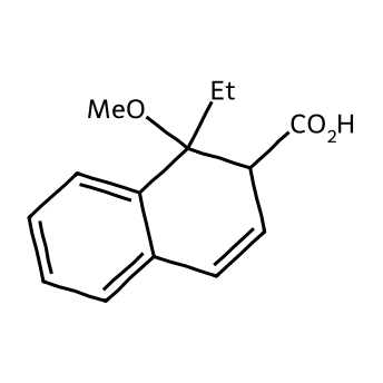 CCC1(OC)c2ccccc2C=CC1C(=O)O